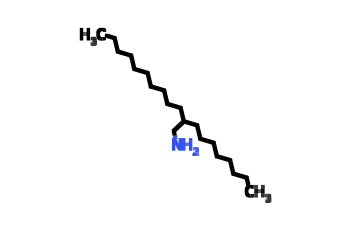 CCCCCCCCCCC(CN)CCCCCCCC